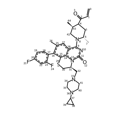 C=CC(=O)C1C[C@H](C)N(c2nc(=O)n3c4c(c(-c5ccc(F)cc5F)c(C)cc24)SC[C@@H]3CN2CCN(C3CC3)CC2)C[C@H]1C